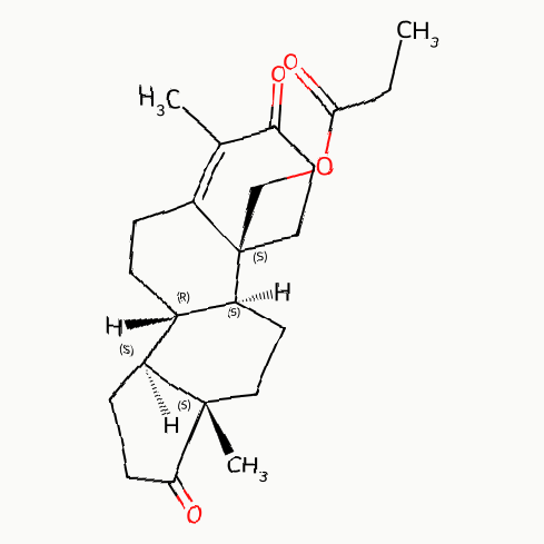 CCC(=O)OC[C@]12CCC(=O)C(C)=C1CC[C@@H]1[C@@H]2CC[C@]2(C)C(=O)CC[C@@H]12